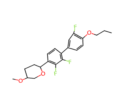 CCCOc1ccc(-c2ccc(C3CCC(OC)CO3)c(F)c2F)cc1F